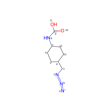 [N-]=[N+]=NCC1CCC(NC(=O)O)CC1